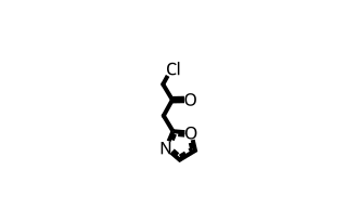 O=C(CCl)Cc1ncco1